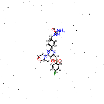 C[C@H]1COCCN1c1cc(CS(=O)(=O)c2ccc(F)cc2)nc(-c2ccc(CNC(N)=O)cc2)n1